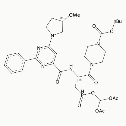 CCCCOC(=O)N1CCN(C(=O)[C@H](C[PH](=O)OC(OC(C)=O)OC(C)=O)NC(=O)c2cc(N3CC[C@H](OC)C3)nc(-c3ccccc3)n2)CC1